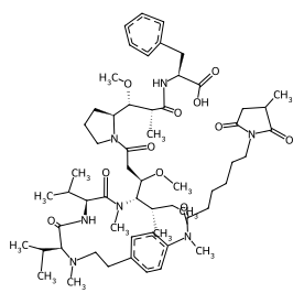 CC[C@H](C)[C@@H]([C@@H](CC(=O)N1CCC[C@H]1[C@H](OC)[C@@H](C)C(=O)N[C@@H](Cc1ccccc1)C(=O)O)OC)N(C)C(=O)[C@@H](NC(=O)[C@H](C(C)C)N(C)CCc1ccc(N(C)C(=O)CCCCCN2C(=O)CC(C)C2=O)cc1)C(C)C